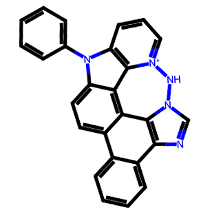 c1ccc(-n2c3ccc4c5ccccc5c5ncn6[nH][n+]7cccc2c7c3c4c56)cc1